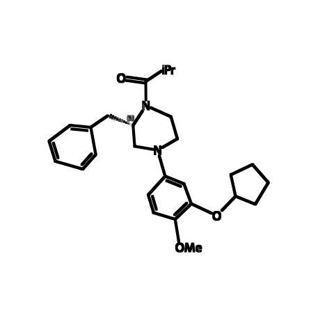 COc1ccc(N2CCN(C(=O)C(C)C)[C@@H](Cc3ccccc3)C2)cc1OC1CCCC1